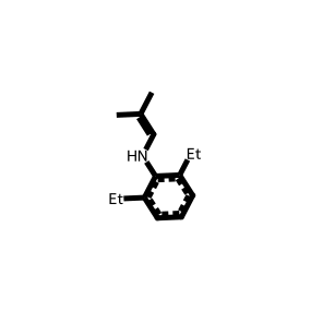 CCc1cccc(CC)c1NC=C(C)C